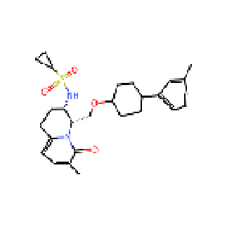 Cc1cccc(C2CCC(OC[C@H]3[C@@H](NS(=O)(=O)C4CC4)CCc4ccc(C)c(=O)n43)CC2)c1